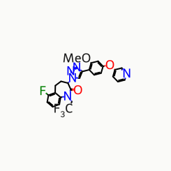 COc1cc(Oc2cccnc2)ccc1-c1cn(C2CCc3c(F)cccc3N(CC(F)(F)F)C2=O)nn1